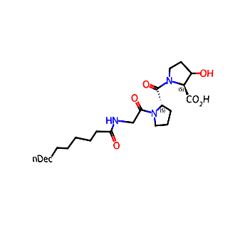 CCCCCCCCCCCCCCCC(=O)NCC(=O)N1CCC[C@H]1C(=O)N1CCC(O)[C@H]1C(=O)O